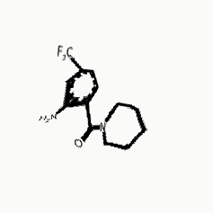 Nc1cc(C(F)(F)F)ccc1C(=O)N1CCCCC1